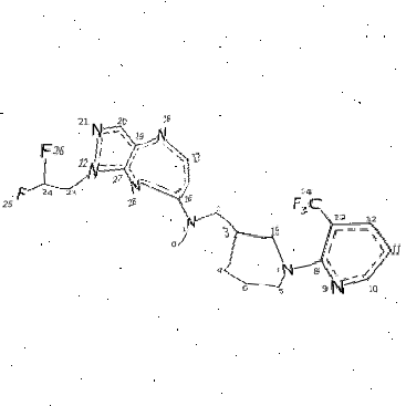 CN(CC1CCCN(c2ncccc2C(F)(F)F)C1)c1cnc2cnn(CC(F)F)c2n1